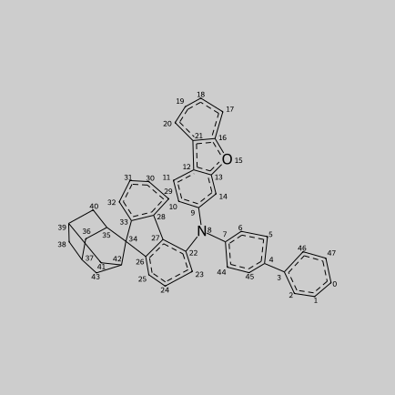 c1ccc(-c2ccc(N(c3ccc4c(c3)oc3ccccc34)c3cccc4c3-c3ccccc3C43C4CC5CC(C4)CC3C5)cc2)cc1